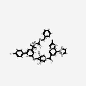 Cc1cn2cc(C(=O)N3C[C@@H]4C(Oc5cc(C(C)(C)NC(=O)OCc6ccccc6)cc(-c6ccc(F)cc6)n5)[C@@H]4C3)cc(-n3nccn3)c2n1